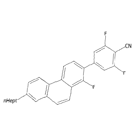 CCCCCCCc1ccc2c(ccc3c(F)c(-c4cc(F)c(C#N)c(F)c4)ccc32)c1